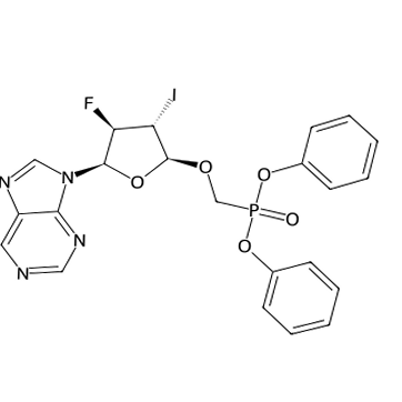 O=P(CO[C@H]1O[C@@H](n2cnc3cncnc32)[C@@H](F)[C@@H]1I)(Oc1ccccc1)Oc1ccccc1